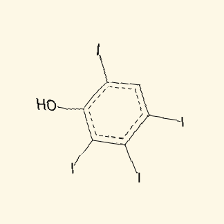 Oc1c(I)cc(I)c(I)c1I